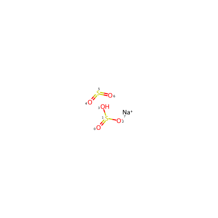 O=S([O-])O.O=S=O.[Na+]